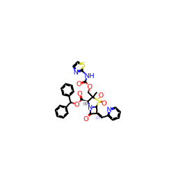 CC1(COC(=O)Nc2nccs2)[C@H](C(=O)OC(c2ccccc2)c2ccccc2)N2C(=O)/C(=C/c3ccccn3)C2S1(=O)=O